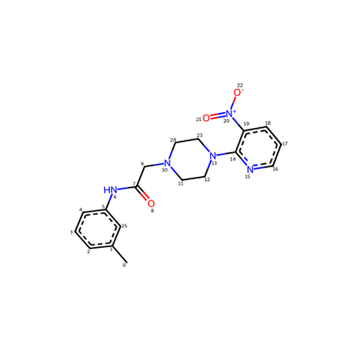 Cc1cccc(NC(=O)CN2CCN(c3ncccc3[N+](=O)[O-])CC2)c1